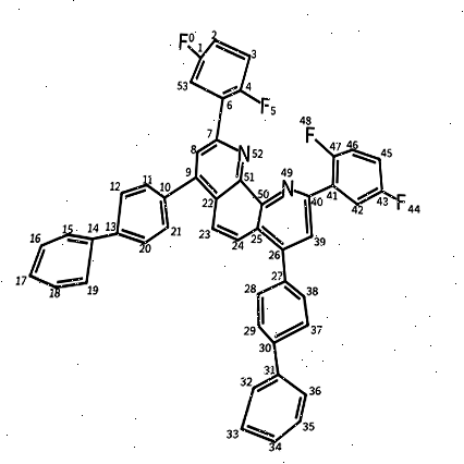 Fc1ccc(F)c(-c2cc(-c3ccc(-c4ccccc4)cc3)c3ccc4c(-c5ccc(-c6ccccc6)cc5)cc(-c5cc(F)ccc5F)nc4c3n2)c1